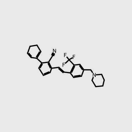 N#Cc1c(/C=C/c2ccc(CN3CCCCC3)cc2C(F)(F)F)cccc1C1=CCCC=C1